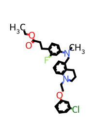 CCOC(=O)CCc1ccc(N(C)Cc2cccc3c2CCCN3CCOc2cccc(Cl)c2)cc1F